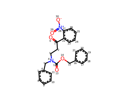 O=C(CCN(Cc1ccccc1)C(=O)OCc1ccccc1)c1ccccc1[N+](=O)[O-]